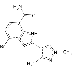 Cc1nn(C)cc1-c1cc2c(Br)ccc(C(N)=O)c2[nH]1